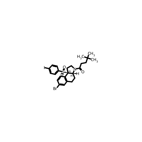 CC(C)(C)CCC(=O)N1CC[C@@]2(S(=O)(=O)c3ccc(I)cc3)c3ccc(Br)cc3CC[C@@H]12